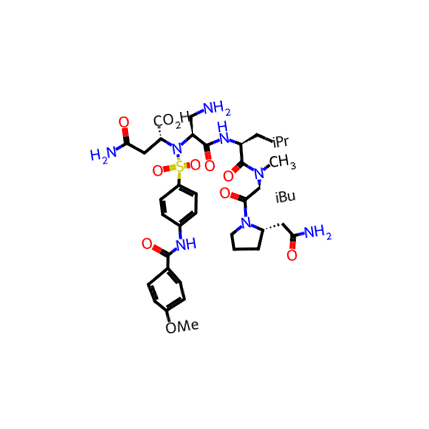 CC[C@H](C)[C@@H](C(=O)N1CCC[C@H]1CC(N)=O)N(C)C(=O)[C@H](CC(C)C)NC(=O)[C@H](CN)N([C@H](CC(N)=O)C(=O)O)S(=O)(=O)c1ccc(NC(=O)c2ccc(OC)cc2)cc1